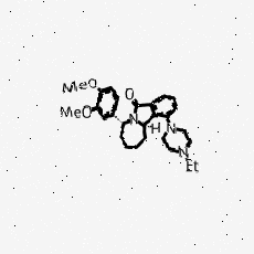 CCN1CCN(c2cccc3c2[C@H]2CCCC[C@H](c4ccc(OC)c(OC)c4)N2C3=O)CC1